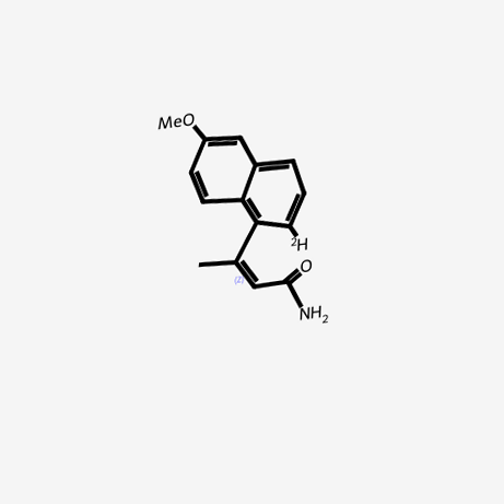 [2H]c1ccc2cc(OC)ccc2c1/C(C)=C\C(N)=O